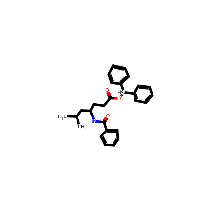 CC(C)CC(CCC(=O)O[SiH](c1ccccc1)c1ccccc1)NC(=O)c1ccccc1